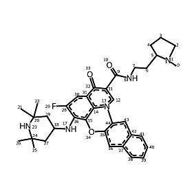 CN1CCCC1CCNC(=O)c1cn2c3c(c(NC4CC(C)(C)NC(C)(C)C4)c(F)cc3c1=O)Oc1cc3ccccc3cc1-2